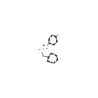 CCCCN(Cc1ccccc1)S(=O)(=O)c1ccc([N+](=O)[O-])cc1